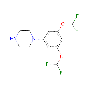 FC(F)Oc1cc(OC(F)F)cc(N2CCNCC2)c1